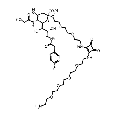 NCCOCCOCCOCCOCCNc1c(NCCOCCOCCO[C@]2(C(=O)O)C[C@H](O)[C@@H](NC(=O)CO)[C@H]([C@H](O)[C@H](O)CNC(=O)Cc3ccc(Cl)cc3)O2)c(=O)c1=O